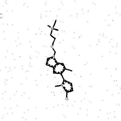 Cc1cc2c(ccn2COCC[Si](C)(C)C)cc1-c1ccc(Cl)n1C